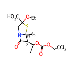 CCOC1(C(=O)O)CN2C(=O)[C@H](C(C)OC(=O)OCC(Cl)(Cl)Cl)[C@H]2S1